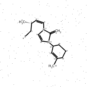 C=C1N(/C=C\[C@@H](C)CI)C=CN1C1C=C(C)CCC1